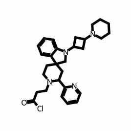 O=C(Cl)CCN1CCC2(CC1c1ccccn1)CN(C1CC(N3CCCCC3)C1)c1ccccc12